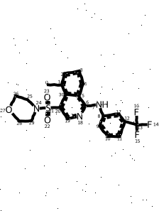 Cc1cccc2c(Nc3cccc(C(F)(F)F)c3)ncc(S(=O)(=O)N3CCOCC3)c12